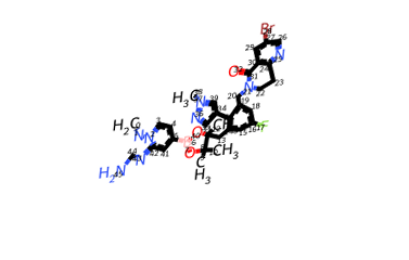 C=Nn1ccc(B2OC(C)(C)C(C)(Cc3cc(F)cc(CN4CCc5ncc(Br)cc5C4=O)c3-c3cnn(C)c3)O2)c/c1=N/CN